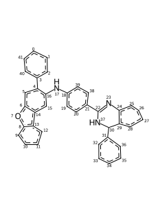 c1ccc(-c2cc3oc4ccccc4c3cc2Nc2ccc(C3=Nc4ccccc4C(c4ccccc4)N3)cc2)cc1